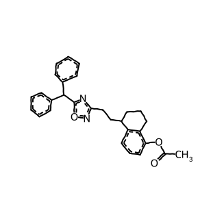 CC(=O)Oc1cccc2c1CCCC2CCc1noc(C(c2ccccc2)c2ccccc2)n1